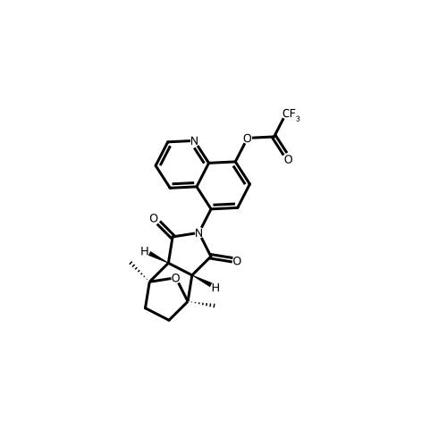 C[C@]12CC[C@](C)(O1)[C@@H]1C(=O)N(c3ccc(OC(=O)C(F)(F)F)c4ncccc34)C(=O)[C@@H]12